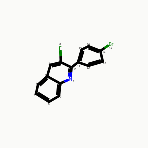 Fc1cc2ccccc2nc1-c1ccc(Br)cc1